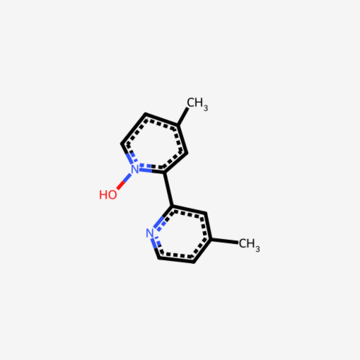 Cc1ccnc(-c2cc(C)cc[n+]2O)c1